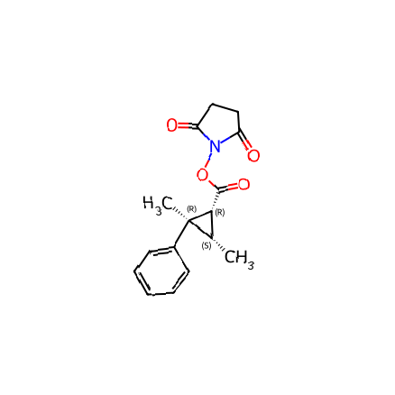 C[C@H]1[C@@H](C(=O)ON2C(=O)CCC2=O)[C@]1(C)c1ccccc1